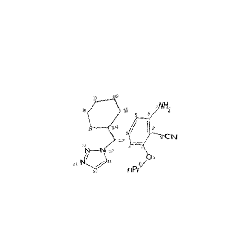 CCCOc1cccc(N)c1C#N.c1cn(CC2CCCCC2)nn1